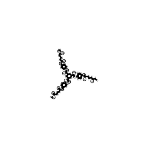 CCC(=O)CCCC(=O)Oc1ccc(OC(=O)C2CC(C(=O)Oc3ccc(OC(=O)CCCC(=O)OC)cc3)CC(C(=O)Oc3ccc(OC(=O)CCCC(=O)OC)cc3)C2)cc1